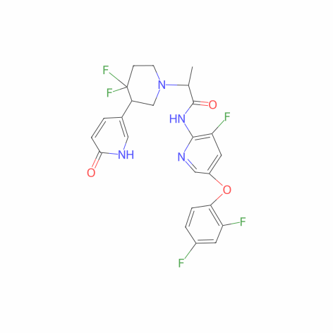 CC(C(=O)Nc1ncc(Oc2ccc(F)cc2F)cc1F)N1CCC(F)(F)C(c2ccc(=O)[nH]c2)C1